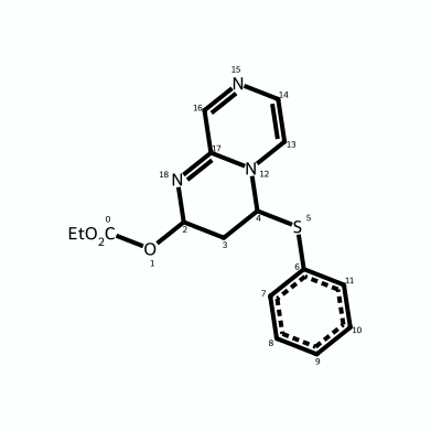 CCOC(=O)OC1CC(Sc2ccccc2)N2C=CN=CC2=N1